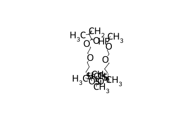 C=C(C)C(=O)OCCOCCC[Si](C)(C)O[Si](C)(C)O[Si](C)(C)CCCOCCOPC